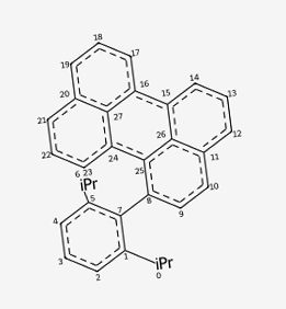 CC(C)c1cccc(C(C)C)c1-c1ccc2cccc3c4cccc5cccc(c1c23)c54